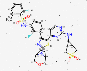 O=S1(=O)CC2C(C1)C2Nc1nccc(-c2sc(N3C4CCC3COC4)nc2-c2cccc(NS(=O)(=O)c3c(F)cccc3C(F)(F)F)c2F)n1